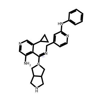 Nc1cncc(C2CC2)c1/C(=N\Cc1ccnc(Nc2ccccc2)c1)N1CC2CNCC2C1